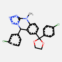 CN1c2ccc(C3(c4ccc(Cl)cc4)OCCO3)cc2C(c2cccc(Cl)c2)n2nnnc21